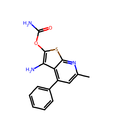 Cc1cc(-c2ccccc2)c2c(N)c(OC(N)=O)sc2n1